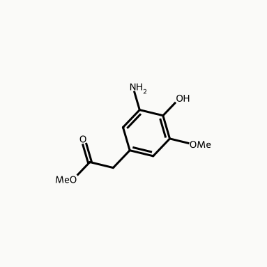 COC(=O)Cc1cc(N)c(O)c(OC)c1